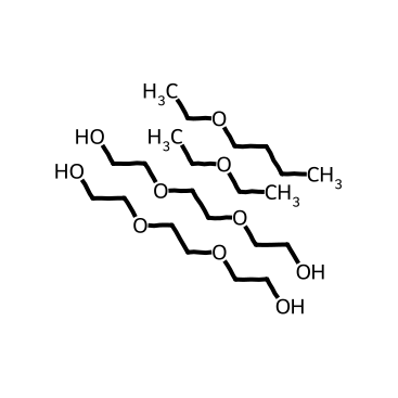 CCCCOCC.CCOCC.OCCOCCOCCO.OCCOCCOCCO